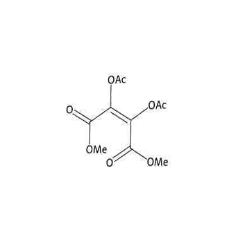 COC(=O)C(OC(C)=O)=C(OC(C)=O)C(=O)OC